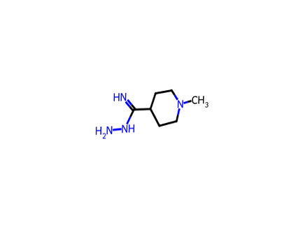 CN1CCC(C(=N)NN)CC1